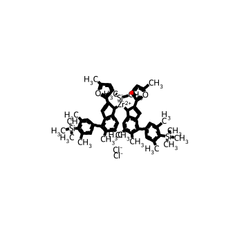 Cc1ccc(C2=Cc3c(cc(C)c(C)c3-c3cc(C)c([Si](C)(C)C)c(C)c3)[CH]2[Zr+2]([CH]2C(c3ccc(C)o3)=Cc3c2cc(C)c(C)c3-c2cc(C)c([Si](C)(C)C)c(C)c2)=[Si](C)C)o1.[Cl-].[Cl-]